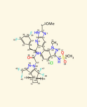 COCc1nc2cc(-c3ccc(Cl)c4c(NS(C)(=O)=O)nn(C)c34)c([C@H](Cc3cc(F)cc(F)c3)NC(=O)Cn3nc(C(F)F)c4c3C(F)(F)[C@@H]3CC[C@H]43)nc2[nH]1